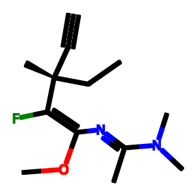 C#C[C@](C)(CC)/C(F)=C(\N=C(/C)N(C)C)OC